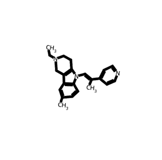 CCN1CCc2c(c3cc(C)ccc3n2C=C(C)c2ccncc2)C1